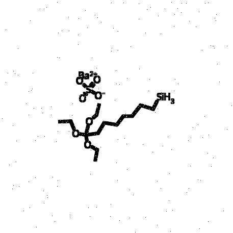 CCOC(CCCCCCC[SiH3])(OCC)OCC.O=S(=O)([O-])[O-].[Ba+2]